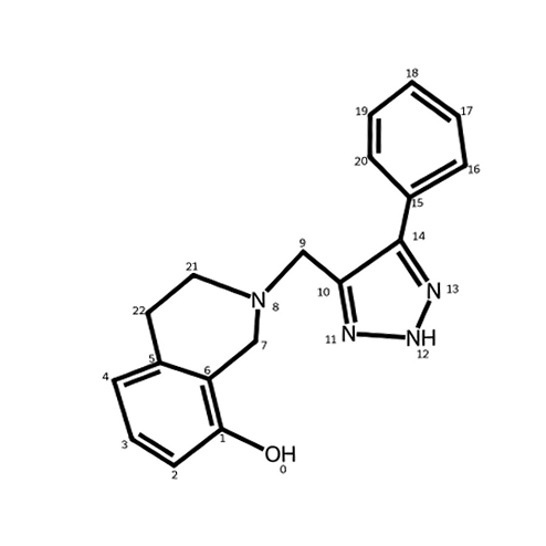 Oc1cccc2c1CN(Cc1n[nH]nc1-c1ccccc1)CC2